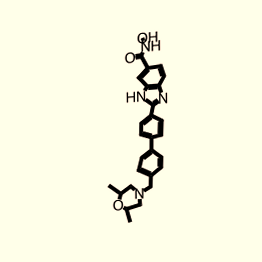 CC1CN(Cc2ccc(-c3ccc(-c4nc5ccc(C(=O)NO)cc5[nH]4)cc3)cc2)CC(C)O1